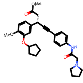 COC(=O)C[C@H](C#Cc1ccc(NC(=O)CN2CCCC2)cc1)c1ccc(OC)c(OC2CCCC2)c1